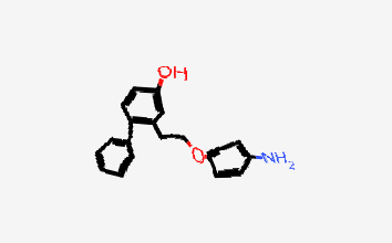 Nc1ccc(OCCc2cc(O)ccc2-c2ccccc2)cc1